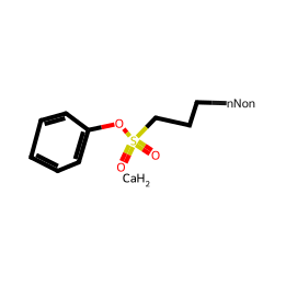 CCCCCCCCCCCCS(=O)(=O)Oc1ccccc1.[CaH2]